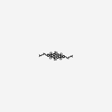 CC(C)=CCC[C@H](C)CCc1ccc(N2C(=O)c3ccc4c5c(Br)cc6c7c(cc(Br)c(c8ccc(c3c48)C2=O)c75)C(=O)N(c2ccc(CC[C@@H](C)CCC=C(C)C)cc2)C6=O)cc1